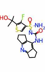 CC(C)(O)c1scc([S@@](N)(=O)=NC(=O)Nc2c3c(nc4c2CCC4)CCC3)c1F